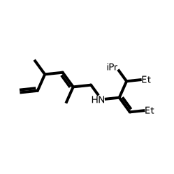 C=CC(C)/C=C(\C)CN/C(=C/CC)C(CC)C(C)C